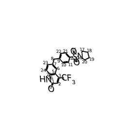 O=c1cc(C(F)(F)F)c2cc(Cc3ccc(S(=O)(=O)N4CCCC4)cc3)ccc2[nH]1